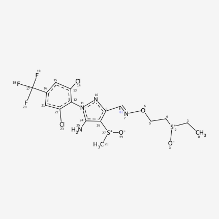 CC[S+]([O-])CCO/N=C/c1nn(-c2c(Cl)cc(C(F)(F)F)cc2Cl)c(N)c1[S+](C)[O-]